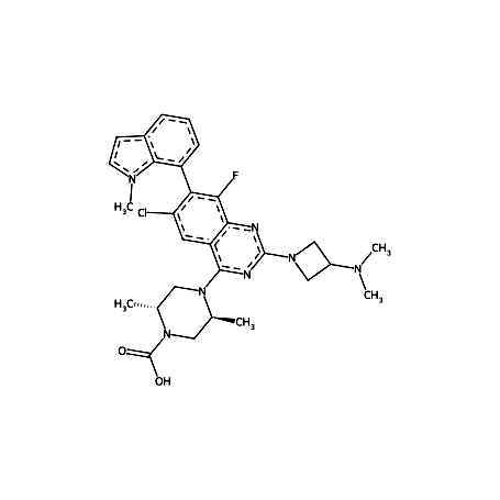 C[C@@H]1CN(c2nc(N3CC(N(C)C)C3)nc3c(F)c(-c4cccc5ccn(C)c45)c(Cl)cc23)[C@@H](C)CN1C(=O)O